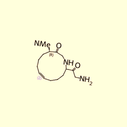 CN[C@@H]1CCC/C=C\CCCC(C(=O)CN)NCC1=O